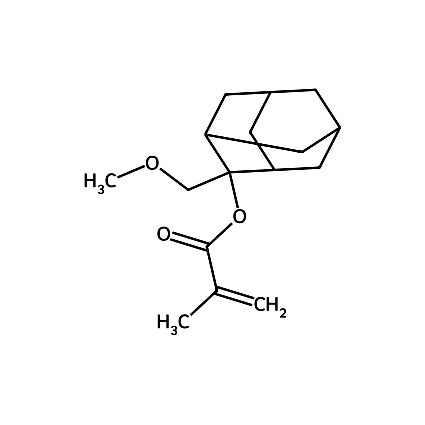 C=C(C)C(=O)OC1(COC)C2CC3CC(C2)CC1C3